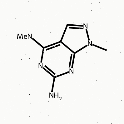 CNc1nc(N)nc2c1cnn2C